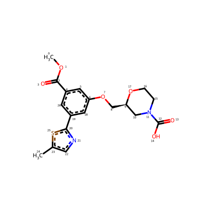 COC(=O)c1cc(OC[C@@H]2CN(C(=O)O)CCO2)cc(-c2ncc(C)s2)c1